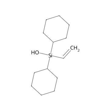 C=C[Si](O)(C1CCCCC1)C1CCCCC1